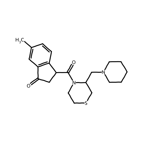 Cc1ccc2c(c1)C(=O)CC2C(=O)N1CCSCC1CN1CCCCC1